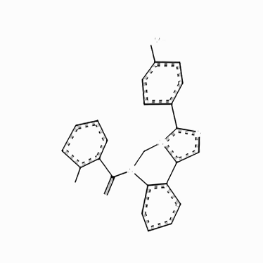 COc1ccc(-c2ncc3n2CN(C(=O)c2ccccc2F)c2ccccc2-3)cc1